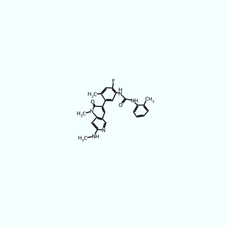 CNc1cc2c(cn1)cc(-c1cc(NC(=O)Nc3ccccc3C)c(F)cc1C)c(=O)n2C